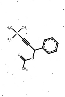 CC(=O)OC(C#C[Si](C)(C)C)c1ccccc1